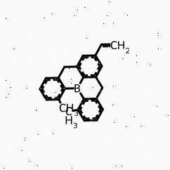 C=Cc1cc2c3c(c1)Cc1cccc(C)c1B3c1c(C)cccc1C2